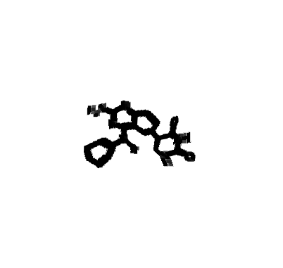 Nc1nc(N(Br)c2ccccc2)c2cc(-c3c[nH]c(=O)[nH]c3=O)ccc2n1